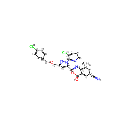 Cc1cc(C#N)cc2c(=O)oc(-c3cc(COCc4ccc(Cl)cc4)nn3C3=NCCC=C3Cl)nc12